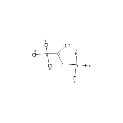 FC(F)(F)CC(Cl)C(Cl)(Cl)Cl